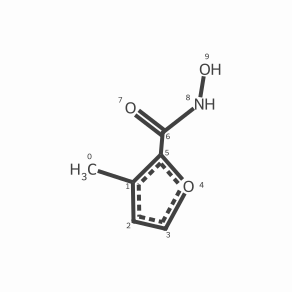 Cc1ccoc1C(=O)NO